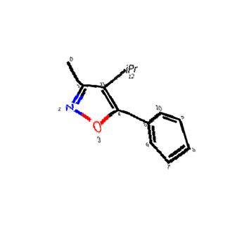 Cc1noc(-c2ccccc2)c1C(C)C